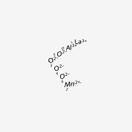 [Al+3].[La+3].[Mn+2].[O-2].[O-2].[O-2].[O-2]